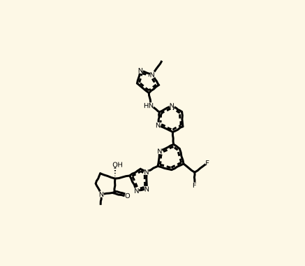 CN1CC[C@@](O)(c2cn(-c3cc(C(F)F)cc(-c4ccnc(Nc5cnn(C)c5)n4)n3)nn2)C1=O